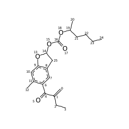 C=C(CC)C(=O)c1cc2c(cc1C)OC(OC(=O)OC(C)CCCC)C2